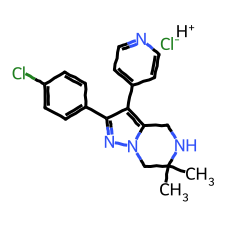 CC1(C)Cn2nc(-c3ccc(Cl)cc3)c(-c3ccncc3)c2CN1.[Cl-].[H+]